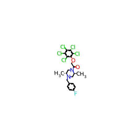 C[C@@H]1CN(C(=O)COc2c(Cl)c(Cl)c(Cl)c(Cl)c2Cl)[C@@H](C)CN1Cc1ccc(F)cc1